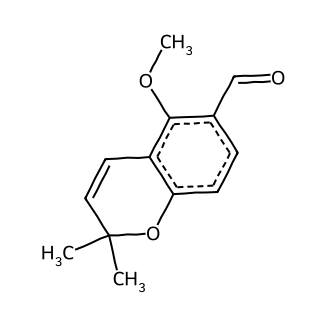 COc1c(C=O)ccc2c1C=CC(C)(C)O2